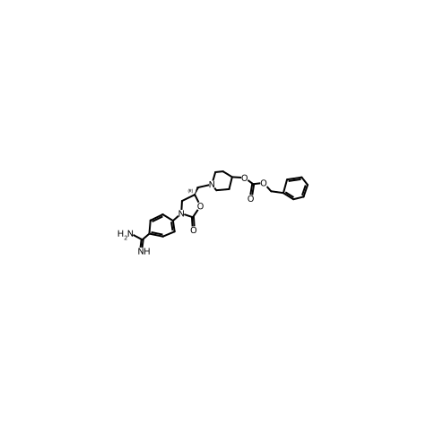 N=C(N)c1ccc(N2C[C@@H](CN3CCC(OC(=O)OCc4ccccc4)CC3)OC2=O)cc1